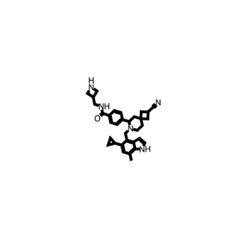 Cc1cc(C2CC2)c(CN2CCC3(CC(C#N)C3)CC2c2ccc(C(=O)NCC3CNC3)cc2)c2cc[nH]c12